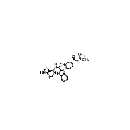 CC(Nc1ncnc2[nH]cnc12)c1nc2ccccc2n1C1CCN(C(=O)CN(C)C)CC1